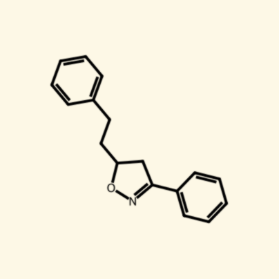 c1ccc(CCC2CC(c3ccccc3)=NO2)cc1